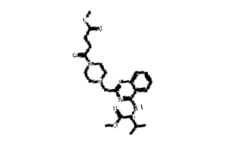 COC(=O)CCC(=O)N1CCN(Cc2nc(N[C@H](C(=O)OC)C(C)C)c3ccccc3n2)CC1